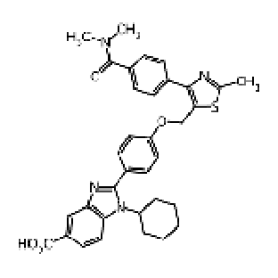 Cc1nc(-c2ccc(C(=O)N(C)C)cc2)c(COc2ccc(-c3nc4cc(C(=O)O)ccc4n3C3CCCCC3)cc2)s1